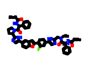 CCCCN(Cc1ncc(-c2ccc(-c3cc4cc(-c5cnc(C6CCCN6C(=O)C(NC(=O)OC)c6ccccc6)[nH]5)ccc4o3)c(F)c2)[nH]1)C(=O)[C@H](NC(=O)OC)c1ccccc1